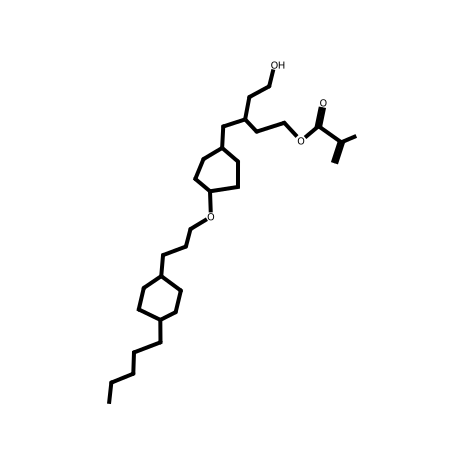 C=C(C)C(=O)OCCC(CCO)CC1CCC(OCCCC2CCC(CCCCC)CC2)CC1